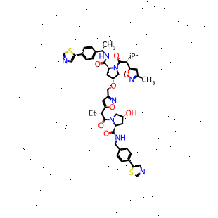 CC[C@@H](C(=O)N1C[C@H](O)C[C@H]1C(=O)NCc1ccc(-c2cncs2)cc1)c1cc(CO[C@@H]2C[C@@H](C(=O)N[C@@H](C)c3ccc(-c4cncs4)cc3)N(C(=O)[C@@H](c3cc(C)no3)C(C)C)C2)no1